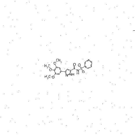 COc1cc(-c2cc(C(=O)NS(=O)(=O)c3ccccc3)[nH]n2)cc(OC)c1OC